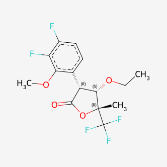 CCO[C@H]1[C@@H](c2ccc(F)c(F)c2OC)C(=O)O[C@@]1(C)C(F)(F)F